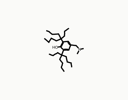 CCCCC(CCC)(CCCC)c1cc(CN(C)C)cc(C(CCC)(CCCC)CCCC)c1O